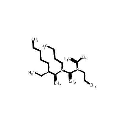 C=C(C)N(CCC)C(=C)N(CCCC)C(=C)[C@@H](CC)CCCCC